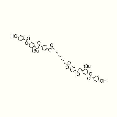 CC(C)(C)c1cc(OC(=O)c2ccc(O)cc2)ccc1OC(=O)c1ccc(OC(=O)CCCCCCCCC(=O)Oc2ccc(C(=O)Oc3ccc(OC(=O)c4ccc(O)cc4)cc3C(C)(C)C)cc2)cc1